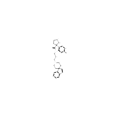 O=C(NCCCN1CCC2(C=Cc3ccccc32)CC1)C1(c2ccc(F)cc2)CCCC1